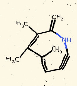 C=C1NC#C/C=C(C)/C(C)=C\1C